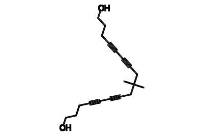 CC(C)(CC#CC#CCCCO)CC#CC#CCCCO